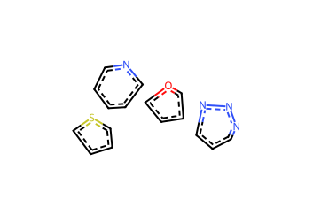 c1ccncc1.c1ccoc1.c1ccsc1.c1cnnnc1